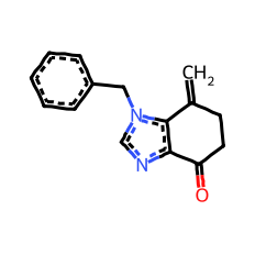 C=C1CCC(=O)c2ncn(Cc3ccccc3)c21